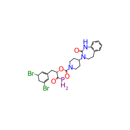 O=C(P)C(CC1=CC(Br)CC(Br)=C1)OC(=O)N1CCC(N2CCc3ccccc3NC2=O)CC1